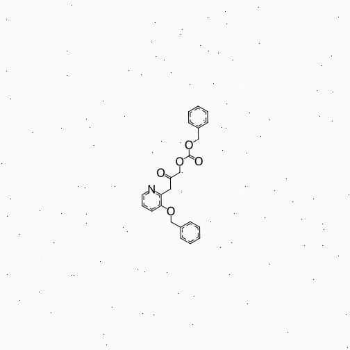 O=C(COC(=O)OCc1ccccc1)Cc1ncccc1OCc1ccccc1